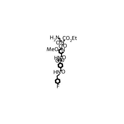 CCOC(=O)CN(C(=O)CN)C(=O)Oc1ncc(C(=O)NS(=O)(=O)c2ccc(C(=O)NCCc3ccc(F)cc3)cc2)cc1OC